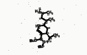 CC(C)COB(OC(C)(C)C)C1=CNC(N(C)CN(C)C)C[C@H]1C(C)F